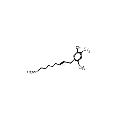 CCCCCCCCCCCCCCC/C=C/Cc1cc(O)c(C)cc1O